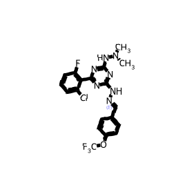 CN(C)Nc1nc(N/N=C/c2ccc(OC(F)(F)F)cc2)nc(-c2c(F)cccc2Cl)n1